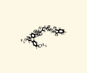 Cc1ccc(-c2cc(C(F)(F)F)nn2-c2ccc(S(=O)(=O)NC(=O)C3CCN(/[N+]([O-])=N/OCN4C(=O)c5ccccc5C4=O)C3)cc2)cc1